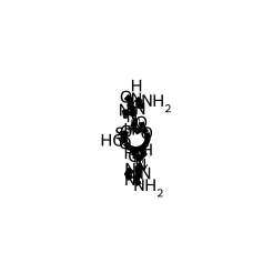 Nc1nc2c(ncn2[C@@H]2OC3C[C@H]2OP(O)(=S)OC[C@H]2O[C@@H](n4cnc5c(N)ncnc54)C[C@@H]2CCO3)c(=O)[nH]1